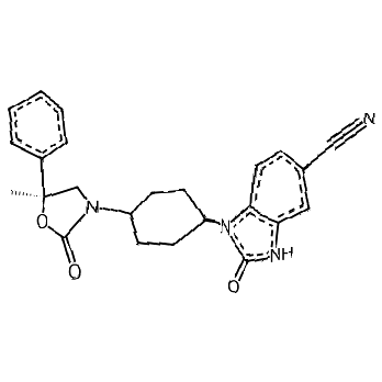 C[C@]1(c2ccccc2)CN(C2CCC(n3c(=O)[nH]c4cc(C#N)ccc43)CC2)C(=O)O1